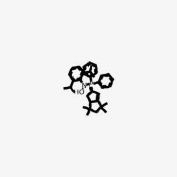 CC(C)c1cccc(C(C)C)c1N(O)P(=C1C=C2C(C1)C(C)(C)CC2(C)C)(c1ccccc1)c1ccccc1